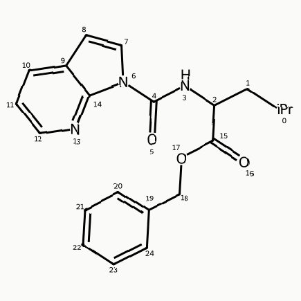 CC(C)CC(NC(=O)n1ccc2cccnc21)C(=O)OCc1ccccc1